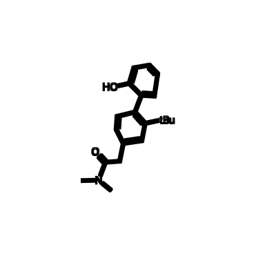 CN(C)C(=O)Cc1ccc(-c2ccccc2O)c(C(C)(C)C)c1